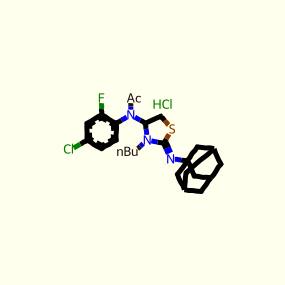 CCCCN1C(=NC23CC4CC(CC(C4)C2)C3)SCC1N(C(C)=O)c1ccc(Cl)cc1F.Cl